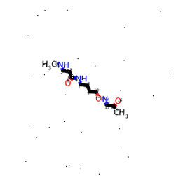 CNCCC(=O)NCCCCO/N=C/C(C)=O